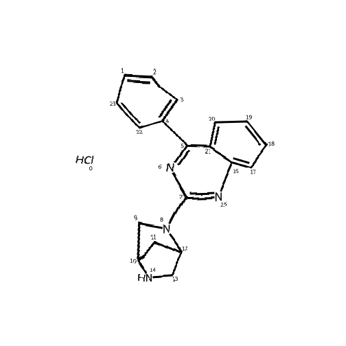 Cl.c1ccc(-c2nc(N3CC4CC3CN4)nc3ccccc23)cc1